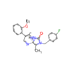 C=C(/C=N\c1[nH]c(=O)n(Cc2ccc(F)cc2)c1C)c1ccccc1OCC